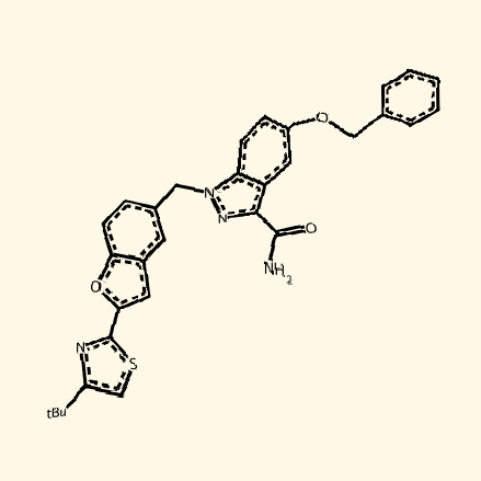 CC(C)(C)c1csc(-c2cc3cc(Cn4nc(C(N)=O)c5cc(OCc6ccccc6)ccc54)ccc3o2)n1